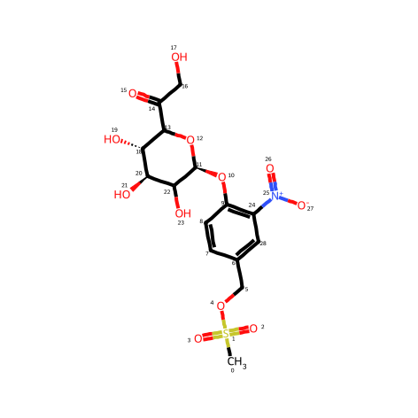 CS(=O)(=O)OCc1ccc(O[C@@H]2OC(C(=O)CO)[C@@H](O)[C@H](O)C2O)c([N+](=O)[O-])c1